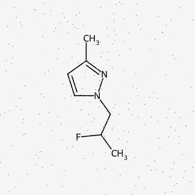 Cc1ccn(CC(C)F)n1